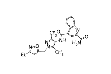 CCc1cc(Cn2nc(C(F)(F)F)c(NC(=O)c3cc(C(N)=O)nc4ccccc34)c2C)on1